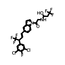 O=C(CNC(O)CC(F)(F)F)n1ccc2cc(/C=C/C(c3cc(Cl)c(F)c(Cl)c3)C(F)(F)F)ccc21